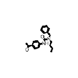 CCCCN(Cc1ccccc1)C(=O)Nc1ccc(C(C)=O)cc1